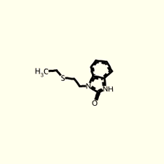 CCSCCn1c(=O)[nH]c2ccccc21